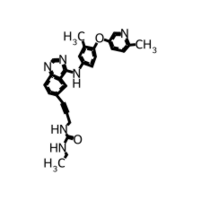 CCNC(=O)NCC#Cc1ccc2ncnc(Nc3ccc(Oc4ccc(C)nc4)c(C)c3)c2c1